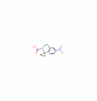 O=C(O)N1CCc2cc([N+](=O)[O-])ccc2C12CC2